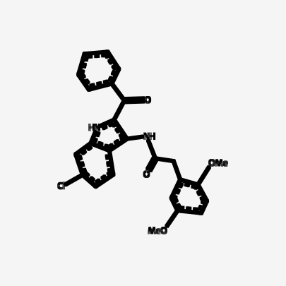 COc1ccc(OC)c(CC(=O)Nc2c(C(=O)c3ccccc3)[nH]c3cc(Cl)ccc23)c1